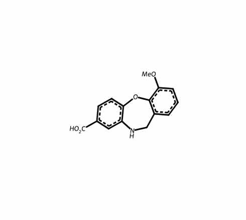 COc1cccc2c1Oc1ccc(C(=O)O)cc1NC2